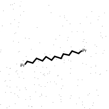 CC(C)CCCC[CH]CCCCCCCC(C)C